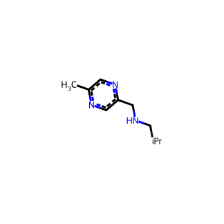 Cc1cnc(CNCC(C)C)cn1